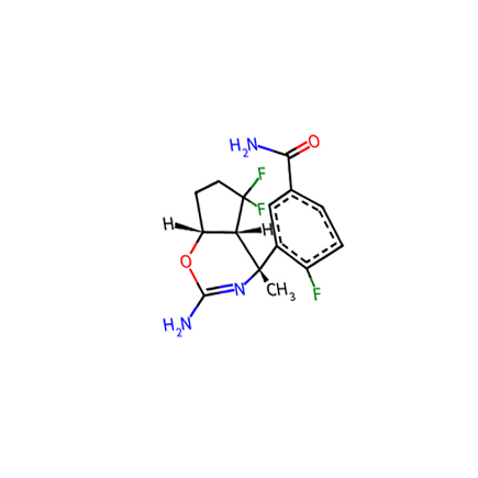 C[C@@]1(c2cc(C(N)=O)ccc2F)N=C(N)O[C@@H]2CCC(F)(F)[C@@H]21